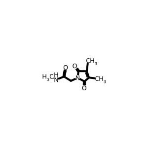 CNC(=O)CN1C(=O)C(C)=C(C)C1=O